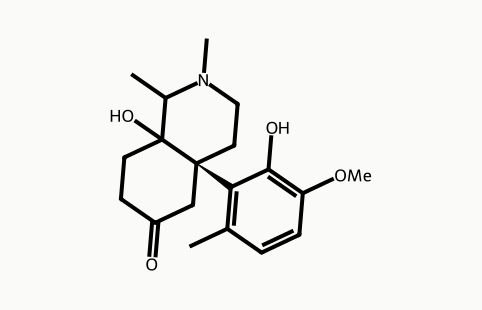 COc1ccc(C)c([C@]23CCN(C)C(C)C2(O)CCC(=O)C3)c1O